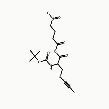 CC#CSCC(NC(=O)OC(C)(C)C)C(=O)OC(=O)CCC[N+](=O)[O-]